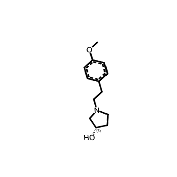 COc1ccc(CCN2CC[C@H](O)C2)cc1